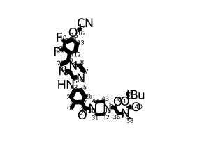 Cc1cc(Nc2nccn3c(-c4ccc(OCC#N)c(F)c4F)cnc23)ccc1C(=O)N1CCN(C(=O)CN(C)C(=O)OC(C)(C)C)CC1